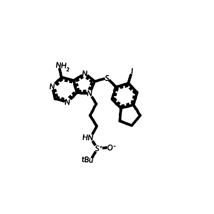 CC(C)(C)[S+]([O-])NCCCn1c(Sc2cc3c(cc2I)CCC3)nc2c(N)ncnc21